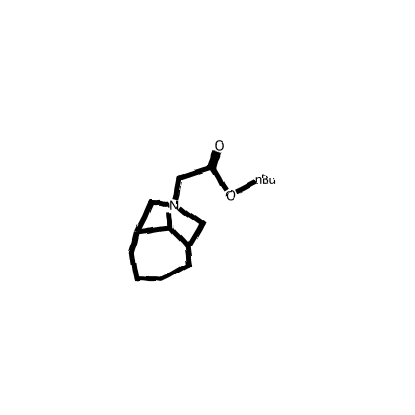 CCCCOC(=O)CN1CC2CCCCC(C1)C2C